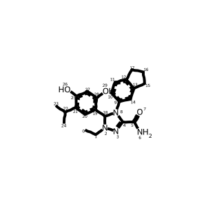 CCN1N=C(C(N)=O)N(c2ccc3c(c2)CCC3)C1c1cc(C(C)C)c(O)cc1O